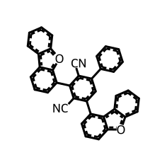 N#Cc1c(-c2ccccc2)cc(-c2cccc3oc4ccccc4c23)c(C#N)c1-c1cccc2c1oc1ccccc12